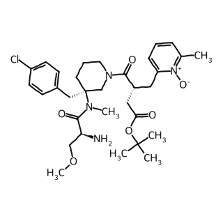 COC[C@H](N)C(=O)N(C)[C@@]1(Cc2ccc(Cl)cc2)CCCN(C(=O)[C@@H](CC(=O)OC(C)(C)C)Cc2cccc(C)[n+]2[O-])C1